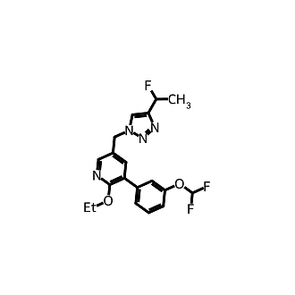 CCOc1ncc(Cn2cc(C(C)F)nn2)cc1-c1cccc(OC(F)F)c1